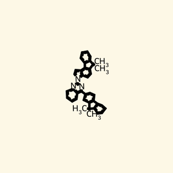 CC1(C)c2ccccc2-c2ccc(-c3nc(-n4ccc5c6c(ccc54)C(C)(C)c4ccccc4-6)nc4ccccc34)cc21